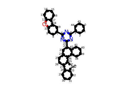 c1ccc(-c2nc(-c3ccc4oc5ccccc5c4c3)nc(-c3cc4ccc5c6ccccc6[se]c5c4c4ccccc34)n2)cc1